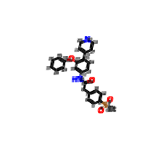 CCS(=O)(=O)c1ccc(CC(=O)Nc2ccc(-c3ccncc3)c(Oc3ccccc3)c2)cc1